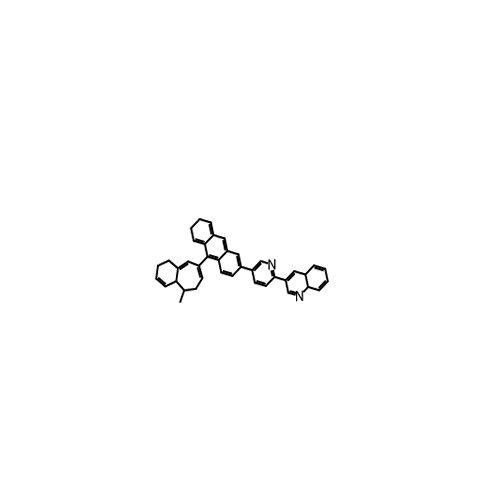 CC1CC=C(c2c3c(cc4cc(-c5ccc(C6=CC7C=CC=CC7N=C6)nc5)ccc24)=CCCC=3)C=C2CCC=CC21